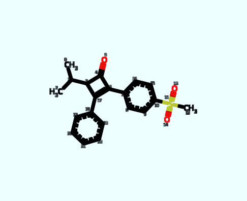 CC(C)C1C(=O)C(c2ccc(S(C)(=O)=O)cc2)=C1c1ccccc1